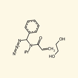 C=CC(=O)N(C(C)C)C(N=[N+]=[N-])c1ccccc1.OCCO